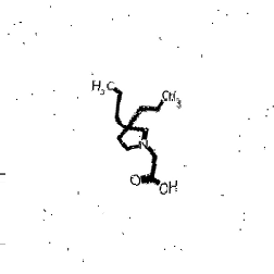 CCCC1(CCC)CCN(CC(=O)O)C1